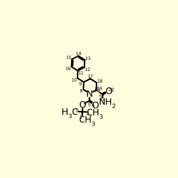 CC(C)(C)OC(=O)N1CC(Cc2ccccc2)CC[C@H]1C(N)=O